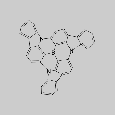 c1ccc2c(c1)c1ccc3c4c1n2-c1ccc2c5ccccc5n5c2c1B4c1c-5ccc2c4ccccc4n-3c12